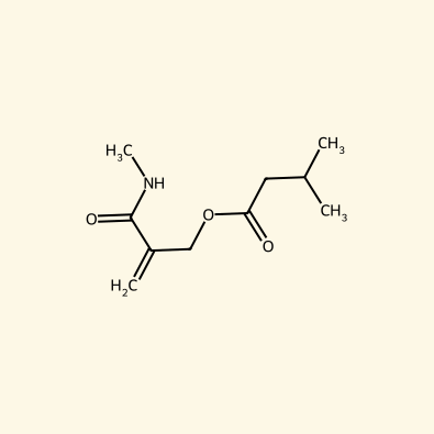 C=C(COC(=O)CC(C)C)C(=O)NC